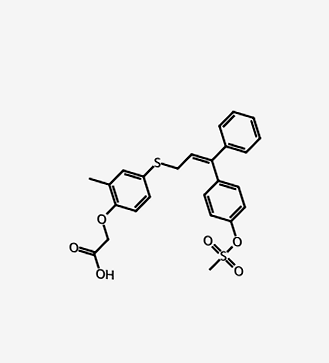 Cc1cc(SCC=C(c2ccccc2)c2ccc(OS(C)(=O)=O)cc2)ccc1OCC(=O)O